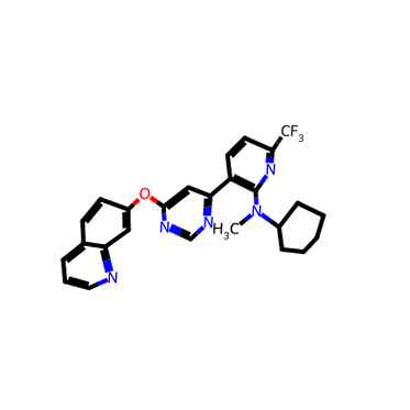 CN(c1nc(C(F)(F)F)ccc1-c1cc(Oc2ccc3cccnc3c2)ncn1)C1CCCCC1